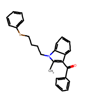 Cc1c(C(=O)c2ccccc2)c2ccccc2n1CCCCSc1ccccc1